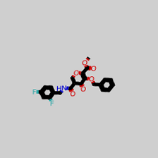 COC(=O)C1=C(OCc2ccccc2)C(=O)C(C(=O)NCc2ccc(F)cc2F)CO1